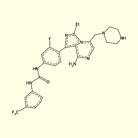 CCc1nc(-c2ccc(NC(=O)Nc3cccc(C(F)(F)F)c3)cc2F)c2c(N)ncc(CN3CCNCC3)n12